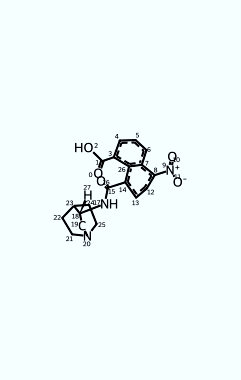 O=C(O)c1cccc2c([N+](=O)[O-])ccc(C(=O)N[C@@H]3CN4CCC3CC4)c12